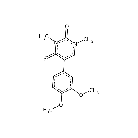 COc1ccc(-c2cn(C)c(=O)n(C)c2=S)cc1OC